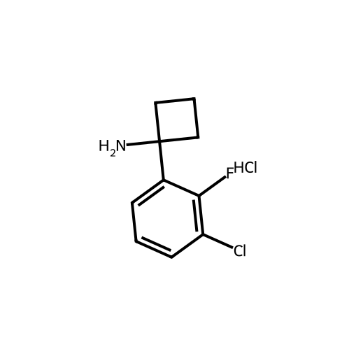 Cl.NC1(c2cccc(Cl)c2F)CCC1